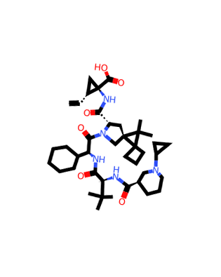 C=C[C@@H]1C[C@]1(NC(=O)[C@@H]1C[C@@]2(CN1C(=O)[C@@H](NC(=O)[C@@H](NC(=O)[C@@H]1CCCN(C3CC3)C1)C(C)(C)C)C1CCCCC1)C(C)(C)C21CCC1)C(=O)O